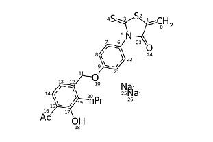 C=C1SC(=S)N(c2ccc(OCc3ccc(C(C)=O)c(O)c3CCC)cc2)C1=O.[Na].[Na]